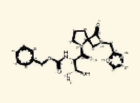 C[C@@H](O)[C@H](NC(=O)OCc1ccccc1)C(=O)N1CCCC12CN(Cc1nnco1)C2=O